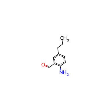 CCCc1ccc(N)c(C=O)c1